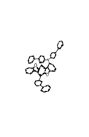 c1ccc(-c2ccc(N(c3ccc(-c4ccccc4)cc3)c3cccc4oc5c(-c6cccc(-c7ccccc7)c6)c6c(cc5c34)oc3ccccc36)cc2)cc1